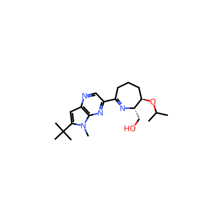 CC(C)O[C@@H]1CCCC(c2cnc3cc(C(C)(C)C)n(C)c3n2)=N[C@H]1CO